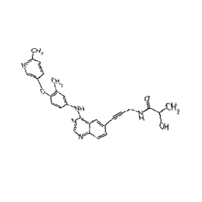 Cc1ccc(Oc2ccc(Nc3ncnc4ccc(C#CCNC(=O)C(C)O)cc34)cc2C)cn1